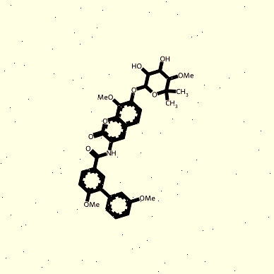 COc1cccc(-c2cc(C(=O)Nc3cc4ccc(OC5OC(C)(C)C(OC)C(O)C5O)c(OC)c4oc3=O)ccc2OC)c1